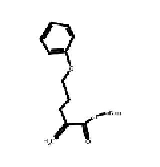 C=C(CCCOc1ccccc1)C(=O)OCCCCCCCCC